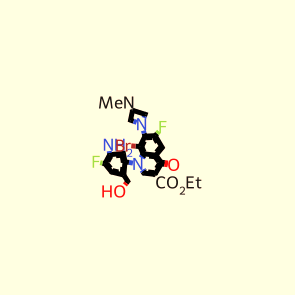 CCOC(=O)c1cn(-c2cc(N)c(F)cc2CO)c2c(Br)c(N3CC(NC)C3)c(F)cc2c1=O